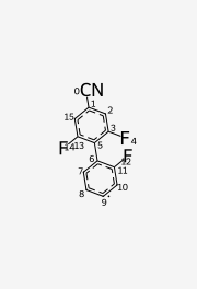 N#Cc1cc(F)c(-c2cc[c]cc2F)c(F)c1